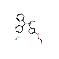 C[CH]=[Zr+2]([C]1=CC(OCCO)=CC1)[CH]1c2ccccc2-c2ccccc21.[Cl-].[Cl-]